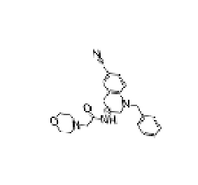 N#Cc1ccc2c(c1)C[C@@H](NC(=O)CN1CCOCC1)CN2Cc1ccccc1